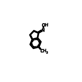 Cc1ccc2c(c1)C(=NO)CC2